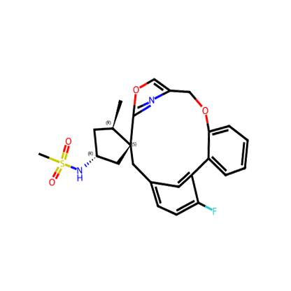 C[C@@H]1C[C@@H](NS(C)(=O)=O)C[C@@]12Cc1ccc(F)c(c1)-c1ccccc1OCc1coc2n1